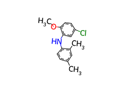 COc1ccc(Cl)cc1Nc1ccc(C)cc1C